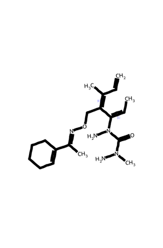 C=C/C(C)=C(CON=C(C)C1=CCCCC1)\C(=C/C)N(N)C(=O)N(C)N